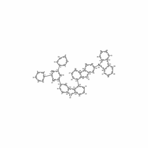 c1ccc(-c2nc(-c3ccccc3)nc(-c3ccc4oc5cccc(-c6cccc7c6oc6cc(-n8c9ccccc9c9ccccc98)ccc67)c5c4c3)n2)cc1